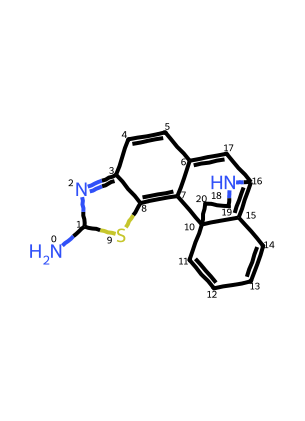 NC1N=c2ccc3c(c2S1)C12C=CC=CC1=C(C=3)NCC2